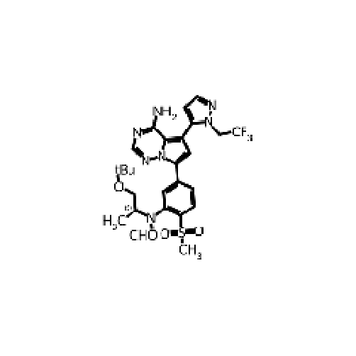 C[C@@H](COC(C)(C)C)N(C=O)c1cc(-c2cc(-c3ccnn3CC(F)(F)F)c3c(N)ncnn23)ccc1S(C)(=O)=O